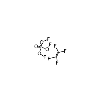 FC(F)=C(F)F.O=P(OF)(OF)OF